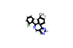 Cc1ccc2c(c1)C(c1ccccc1F)=NCc1cncnc1-2